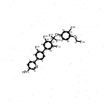 CCCc1ccc(-c2ccc(-c3cc(F)c(C(F)(F)Oc4ccc(OCF)c(F)c4)c(F)c3)c(F)c2)nc1